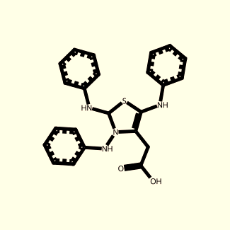 O=C(O)CC1=C(Nc2ccccc2)SC(Nc2ccccc2)N1Nc1ccccc1